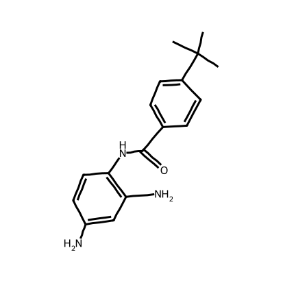 CC(C)(C)c1ccc(C(=O)Nc2ccc(N)cc2N)cc1